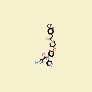 O=C(Cc1ccc(C(F)(F)F)cc1)N1CCC(Oc2ccc(N(C(=O)C3CNC3)c3ccnnc3)cc2)CC1